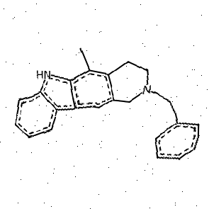 Cc1c2c(cc3c1[nH]c1ccccc13)CN(Cc1ccccc1)CC2